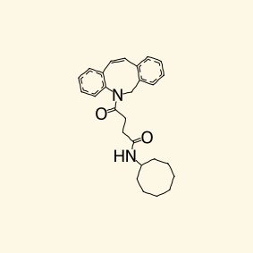 O=C(CCC(=O)N1Cc2ccccc2/C=C\c2ccccc21)NC1CCCCCCC1